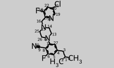 CC(C)Cc1cc(F)c(C#N)c(N2CCN(Cc3ncc(Cl)cc3F)CC2)c1